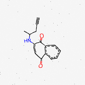 C#CCC(C)NC1=CC(=O)c2ccccc2C1=O